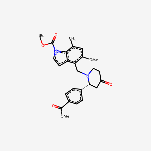 COC(=O)c1ccc([C@H]2CC(=O)CCN2Cc2c(OC)cc(C)c3c2ccn3C(=O)OC(C)(C)C)cc1